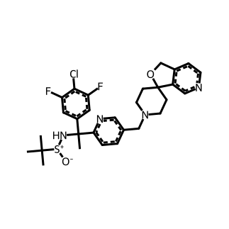 CC(N[S+]([O-])C(C)(C)C)(c1cc(F)c(Cl)c(F)c1)c1ccc(CN2CCC3(CC2)OCc2ccncc23)cn1